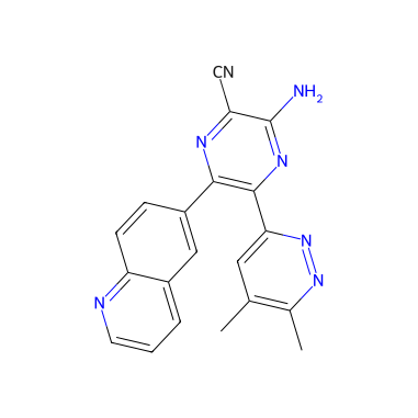 Cc1cc(-c2nc(N)c(C#N)nc2-c2ccc3ncccc3c2)nnc1C